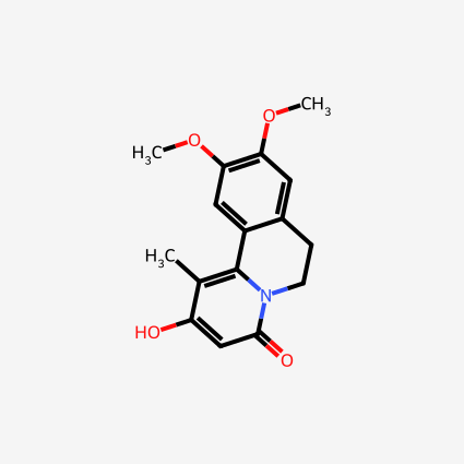 COc1cc2c(cc1OC)-c1c(C)c(O)cc(=O)n1CC2